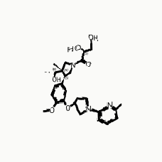 COc1ccc([C@@H]2CN(C(=O)[C@@H](O)CO)C[C@@]2(C)[C@@H](C)O)cc1OC1CCN(c2cccc(C)n2)C1